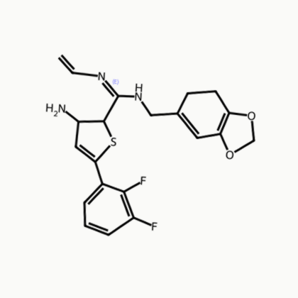 C=C/N=C(/NCC1=CC2=C(CC1)OCO2)C1SC(c2cccc(F)c2F)=CC1N